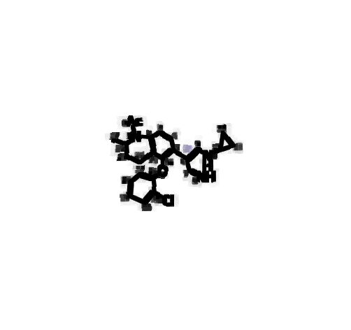 CC(=O)N1c2ccc(/C(C=N)=C/NC3CC3)c(Oc3ccccc3Cl)c2CCC1C